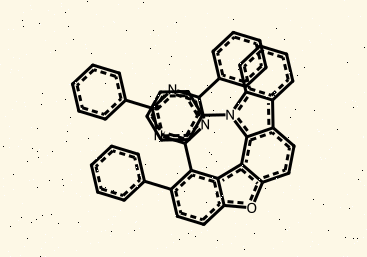 c1ccc(-c2nc(-c3ccccc3)nc(-c3c(-c4ccccc4)ccc4oc5ccc6c7ccccc7n(-c7ccccc7)c6c5c34)n2)cc1